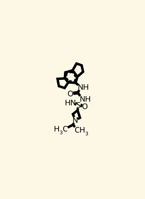 CC(C)N1CC(S(=N)(=O)NC(=O)Nc2c3c(cc4c2CCC4)CCC3)C1